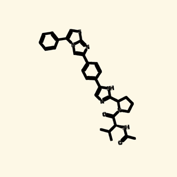 CC(=O)N[C@H](C(=O)N1CCCC1c1ncc(-c2ccc(-c3cn4c(-c5ccccc5)csc4n3)cc2)[nH]1)C(C)C